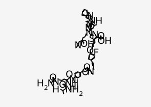 Cc1cc(N(CCCC(O)C[N+](C)(C)C)c2nc(C(=O)O)c(CCCOc3ccc(C#CCN(C)C(=O)OCc4ccc(NC(=O)C(CCCNC(N)=O)NC(=O)C(N)C(C)C)cc4)cc3F)s2)nnc1Nc1nc2ccccc2s1